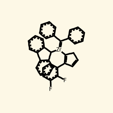 Fc1cccc(C2=[C]([Zr](=[C](c3ccccc3)c3ccccc3)[CH]3c4ccccc4-c4ccccc43)CC=C2)c1F